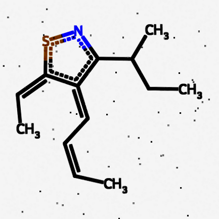 C\C=C/C=c1/c(C(C)CC)ns/c1=C/C